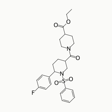 CCOC(=O)C1CCN(C(=O)C2CCC(c3ccc(F)cc3)N(S(=O)(=O)c3ccccc3)C2)CC1